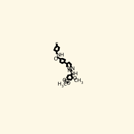 COc1cc(S(C)(=O)=O)ccc1Nc1nc2ccc(-c3ccc(C(=O)NCc4ccc(F)cc4)cc3)cn2n1